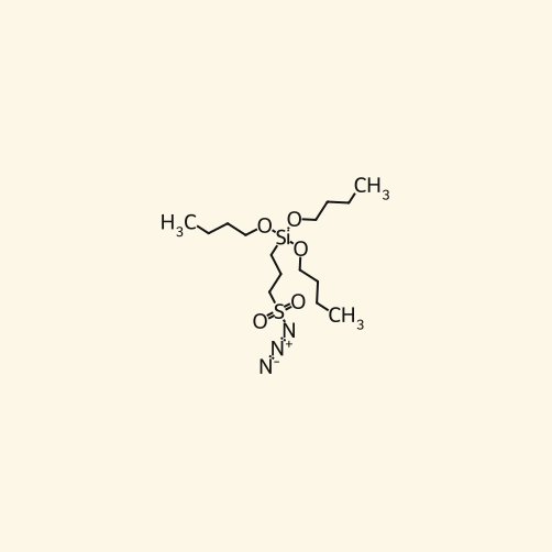 CCCCO[Si](CCCS(=O)(=O)N=[N+]=[N-])(OCCCC)OCCCC